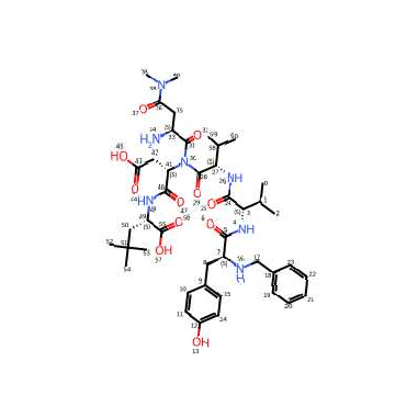 CC(C)[C@H](NC(=O)[C@H](Cc1ccc(O)cc1)NCc1ccccc1)C(=O)N[C@H](C(=O)N(C(=O)[C@@H](N)CC(=O)N(C)C)[C@@H](CC(=O)O)C(=O)N[C@@H](CC(C)(C)C)C(=O)O)C(C)C